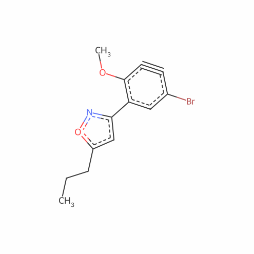 CCCc1cc(-c2cc(Br)c#cc2OC)no1